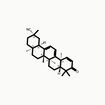 CC1(C)C(=O)C=C[C@]2(C)C3=CC=C4[C@@H]5C[C@@](C)(C#N)CC[C@]5(C)CC[C@@]4(C)[C@]3(C)CC[C@@H]12